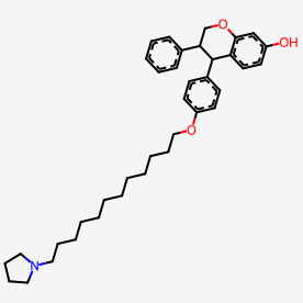 Oc1ccc2c(c1)OCC(c1ccccc1)C2c1ccc(OCCCCCCCCCCCCN2CCCC2)cc1